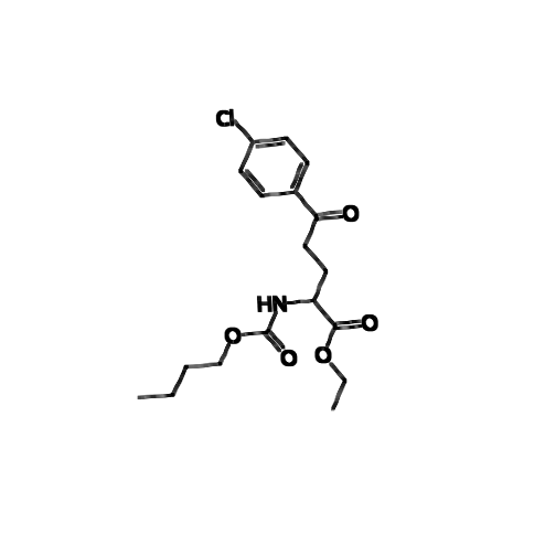 CCCCOC(=O)NC(CCC(=O)c1ccc(Cl)cc1)C(=O)OCC